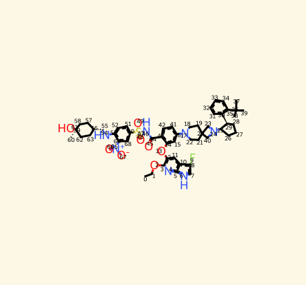 CCOc1nc2[nH]cc(F)c2cc1Oc1cc(N2CCC3(CC2)CN([C@@H]2CCC[C@@H]2c2ccccc2C(C)(C)C)C3)ccc1C(=O)NS(=O)(=O)c1ccc(NC[C@H]2CC[C@](C)(O)CC2)c([N+](=O)[O-])c1